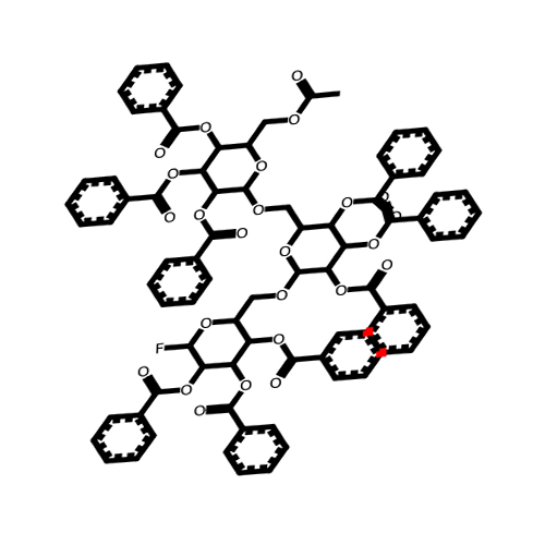 CC(=O)OCC1OC(OCC2OC(OCC3OC(F)C(OC(=O)c4ccccc4)C(OC(=O)c4ccccc4)C3OC(=O)c3ccccc3)C(OC(=O)c3ccccc3)C(OC(=O)c3ccccc3)C2OC(=O)c2ccccc2)C(OC(=O)c2ccccc2)C(OC(=O)c2ccccc2)C1OC(=O)c1ccccc1